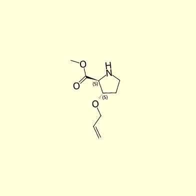 C=CCO[C@H]1CCN[C@@H]1C(=O)OC